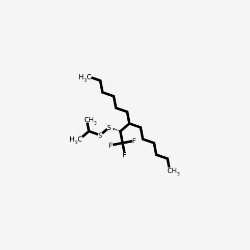 CCCCCCC(CCCCCC)[C@@H](SSC(C)C)C(F)(F)F